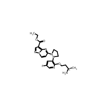 CCOC(=O)c1cnn2ccc(N3CCCN3c3cc(F)cnc3OCC[C@@H](C)N)nc12